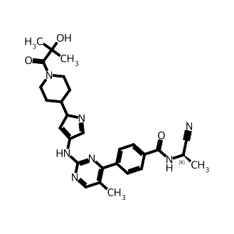 Cc1cnc(NC2=CC(C3CCN(C(=O)C(C)(C)O)CC3)N=C2)nc1-c1ccc(C(=O)N[C@H](C)C#N)cc1